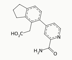 NC(=O)c1cc(-c2ccc3c(c2CC(=O)O)CCC3)ccn1